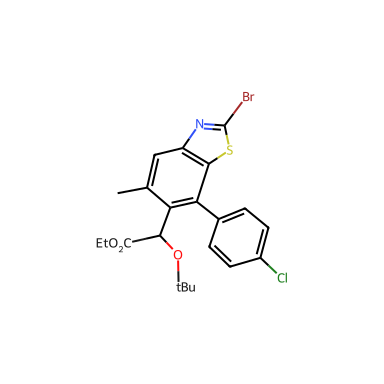 CCOC(=O)C(OC(C)(C)C)c1c(C)cc2nc(Br)sc2c1-c1ccc(Cl)cc1